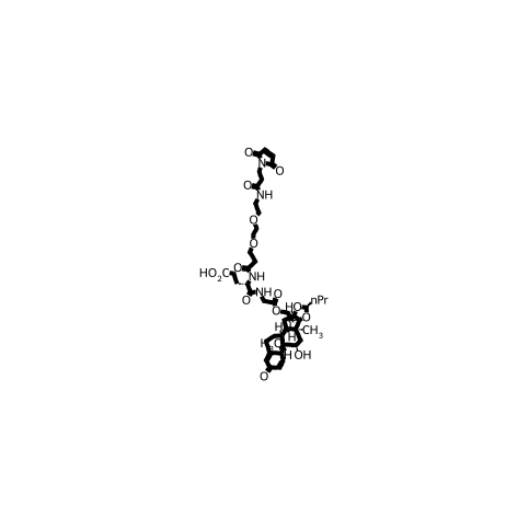 CCC[C@@H]1O[C@@H]2C[C@H]3[C@@H]4CCC5=CC(=O)C=C[C@]5(C)[C@H]4[C@@H](O)C[C@]3(C)[C@]2(C(=O)COC(=O)CNC(=O)[C@H](CCC(=O)O)NC(=O)CCOCCOCCNC(=O)CCN2C(=O)C=CC2=O)O1